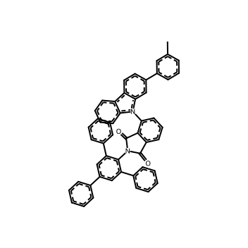 Cc1cccc(-c2ccc3c4ccccc4n(-c4cccc5c4C(=O)N(c4c(-c6ccccc6)cc(-c6ccccc6)cc4-c4ccccc4)C5=O)c3c2)c1